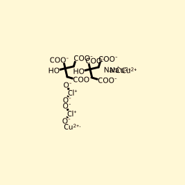 O=C([O-])CC(O)(CC(=O)[O-])C(=O)[O-].O=C([O-])CC(O)(CC(=O)[O-])C(=O)[O-].[Cu+2].[Cu+2].[Cu+2].[Na+].[Na+].[O-][Cl+][O-].[O-][Cl+][O-]